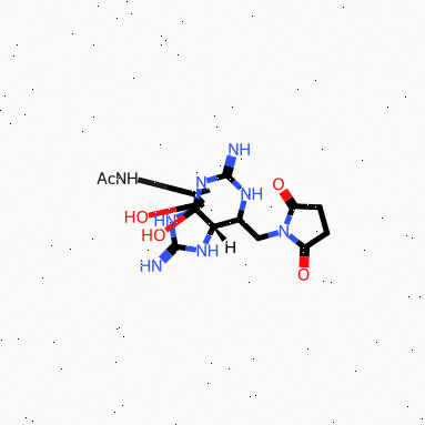 CC(=O)NC1CN2C(=N)NC(CN3C(=O)CCC3=O)[C@@H]3NC(=N)N[C@@]32C1(O)O